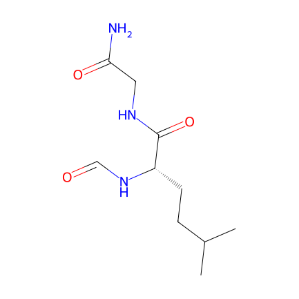 CC(C)CC[C@H](NC=O)C(=O)NCC(N)=O